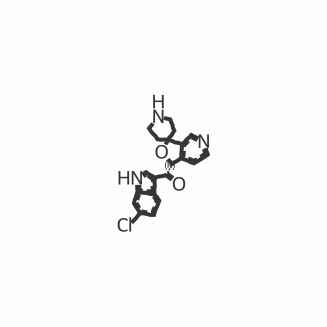 O=C(c1c[nH]c2cc(Cl)ccc12)[C@@H]1OC2(CCNCC2)c2cnccc21